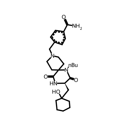 CCCCN1C(=O)[C@@H](CC2(O)CCCCC2)NC(=O)C12CCN(Cc1ccc(C(N)=O)cc1)CC2